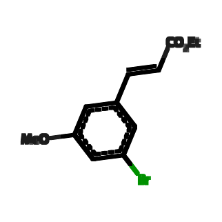 CCOC(=O)C=Cc1cc(Br)cc(OC)c1